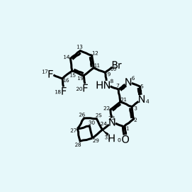 O=c1cc2ncnc(NC(Br)c3cccc(C(F)F)c3F)c2cn1[C@H]1CCC2CC1C2